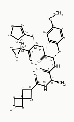 COc1ccc(C[C@H](NC(=O)[C@@H](C)NC(=O)C2CC3(COC3)C2)C(=O)N[C@@H](CC2=CCCC2)C(=O)[C@]2(C)CO2)cc1